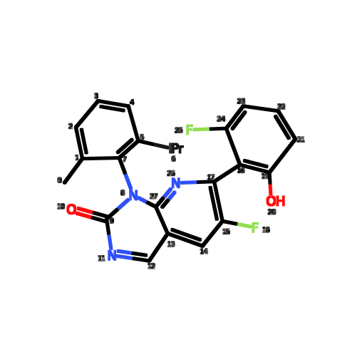 Cc1cccc(C(C)C)c1-n1c(=O)ncc2cc(F)c(-c3c(O)cccc3F)nc21